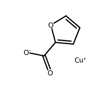 O=C([O-])c1ccco1.[Cu+]